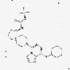 CC(C)(C)OC(=O)N[C@@H]1CCCC12CCN(c1ncc(SC3CCCCC3)c3nccn13)CC2